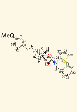 COc1ccc(CC[N+]23CCC(CC2)[C@@H](OC(=O)N(Cc2ccccc2F)c2cccs2)C3)cc1